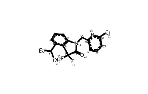 CCC(O)c1cccc2c1C(F)(F)C(=O)N2Cc1cccc(Cl)n1